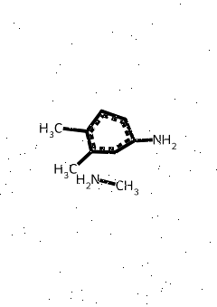 CN.Cc1ccc(N)cc1C